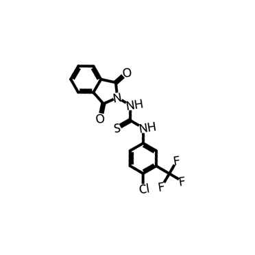 O=C1c2ccccc2C(=O)N1NC(=S)Nc1ccc(Cl)c(C(F)(F)F)c1